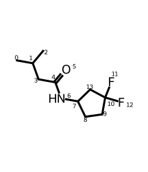 CC(C)CC(=O)NC1CCC(F)(F)C1